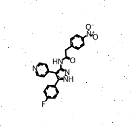 O=C(Cc1ccc([N+](=O)[O-])cc1)Nc1n[nH]c(-c2ccc(F)cc2)c1-c1ccncc1